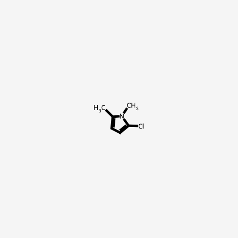 Cc1c[c]c(Cl)n1C